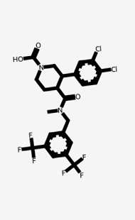 CN(Cc1cc(C(F)(F)F)cc(C(F)(F)F)c1)C(=O)C1CCN(C(=O)O)CC1c1ccc(Cl)c(Cl)c1